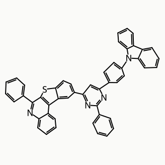 c1ccc(-c2nc(-c3ccc(-n4c5ccccc5c5ccccc54)cc3)cc(-c3ccc4sc5c(-c6ccccc6)nc6ccccc6c5c4c3)n2)cc1